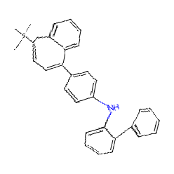 C[Si](C)(C)c1ccc(-c2ccc(Nc3ccccc3-c3ccccc3)cc2)c2ccccc12